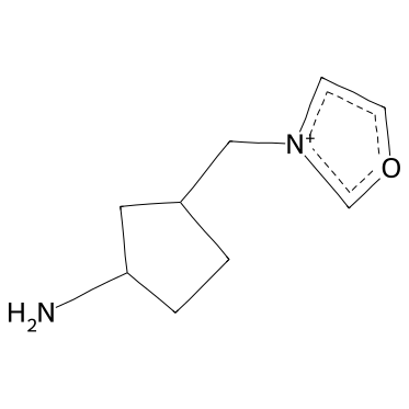 NC1CCC(C[n+]2ccoc2)C1